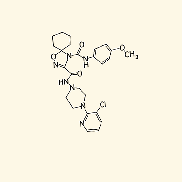 COc1ccc(NC(=O)N2C(C(=O)NN3CCN(c4ncccc4Cl)CC3)=NOC23CCCCC3)cc1